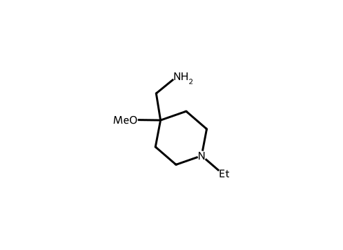 CCN1CCC(CN)(OC)CC1